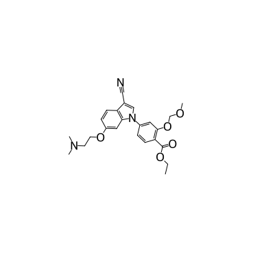 CCOC(=O)c1ccc(-n2cc(C#N)c3ccc(OCCN(C)C)cc32)cc1OCOC